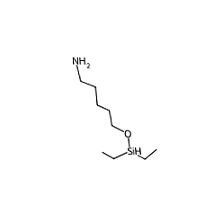 CC[SiH](CC)OCCCCCN